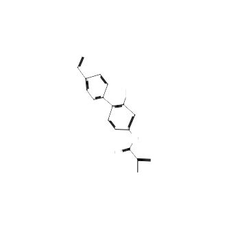 C=Cc1ccc(-c2ccc(OC(=O)C(=C)C)cc2F)cc1